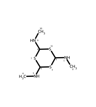 CNC1SC(NC)SC(NC)S1